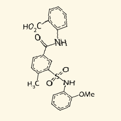 COc1ccccc1NS(=O)(=O)c1cc(C(=O)Nc2ccccc2C(=O)O)ccc1C